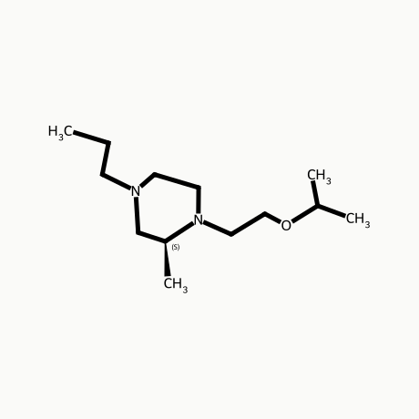 CCCN1CCN(CCOC(C)C)[C@@H](C)C1